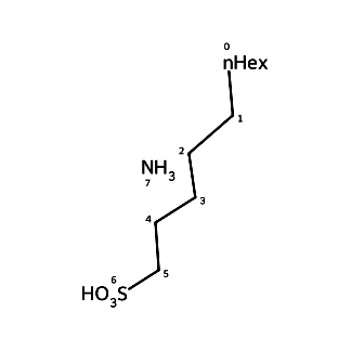 CCCCCCCCCCCS(=O)(=O)O.N